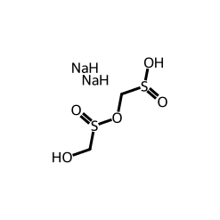 O=S(O)COS(=O)CO.[NaH].[NaH]